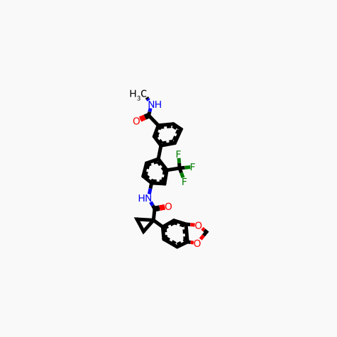 CNC(=O)c1cccc(-c2ccc(NC(=O)C3(c4ccc5c(c4)OCO5)CC3)cc2C(F)(F)F)c1